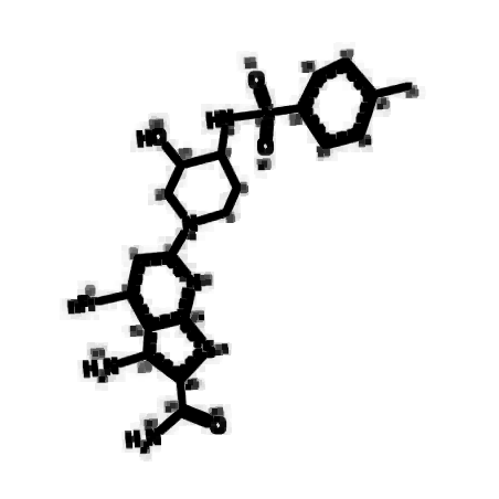 CCCc1cc(N2CCC(NS(=O)(=O)c3ccc(C)cc3)C(O)C2)nc2sc(C(N)=O)c(N)c12